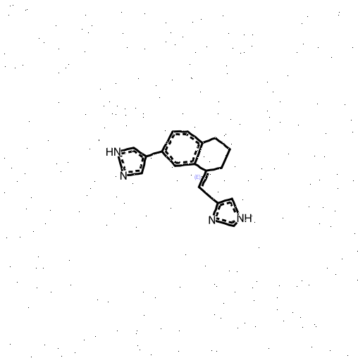 C(=C1/CCCc2ccc(-c3cn[nH]c3)cc21)/c1c[nH]cn1